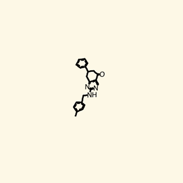 Cc1ccc(CNc2ncc3c(n2)CC(c2ccccc2)CC3=O)cc1